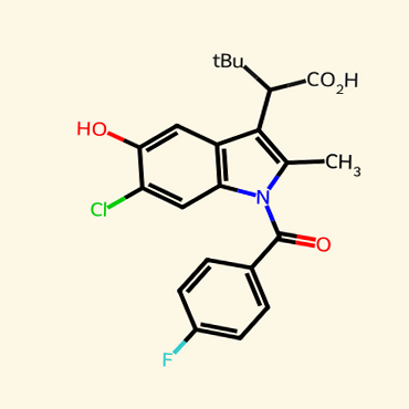 Cc1c(C(C(=O)O)C(C)(C)C)c2cc(O)c(Cl)cc2n1C(=O)c1ccc(F)cc1